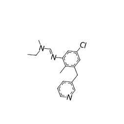 CCN(C)C=Nc1cc(Cl)cc(Cc2cccnc2)c1C